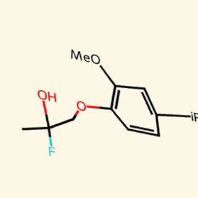 COc1cc(C(C)C)ccc1OCC(C)(O)F